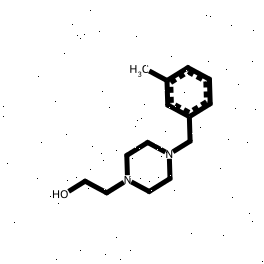 Cc1cccc(CN2CCN(CCO)CC2)c1